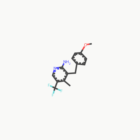 COc1ccc(Cc2c(N)ncc(C(F)(F)F)c2C)cc1